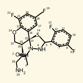 CC(=O)N1NC(c2cc(F)ccc2F)S[C@@]12c1cc(F)cc(F)c1OC[C@@H]2BCN